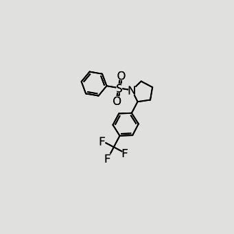 O=S(=O)(c1ccccc1)N1CCCC1c1ccc(C(F)(F)F)cc1